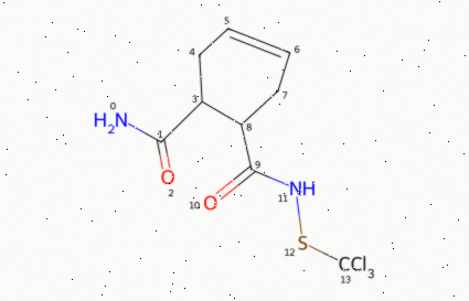 NC(=O)C1CC=CCC1C(=O)NSC(Cl)(Cl)Cl